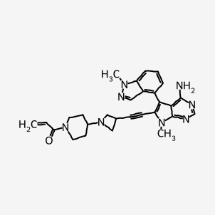 C=CC(=O)N1CCC(N2CC(C#Cc3c(-c4cccc5c4cnn5C)c4c(N)ncnc4n3C)C2)CC1